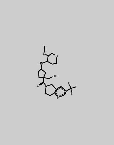 COC1COCCC1NC1CCC(CO)(C(=O)N2CCc3ncc(C(F)(F)F)cc3C2)C1